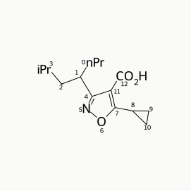 CCCC(CC(C)C)c1noc(C2CC2)c1C(=O)O